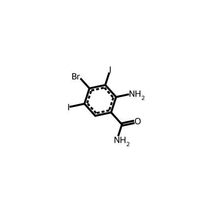 NC(=O)c1cc(I)c(Br)c(I)c1N